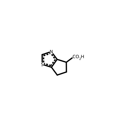 O=C(O)C1CCc2scnc21